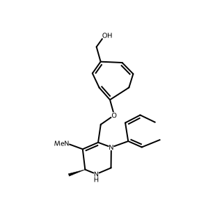 C/C=C\C(=C/C)N1CN[C@@H](C)C(NC)=C1COC1=CC=C(CO)C=CC1